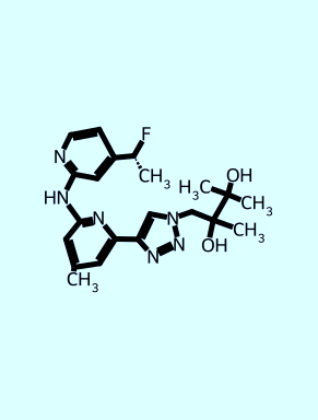 Cc1cc(Nc2cc([C@@H](C)F)ccn2)nc(-c2cn(CC(C)(O)C(C)(C)O)nn2)c1